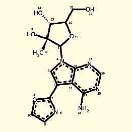 C[C@]1(O)C(n2cc(-c3ncco3)c3c(N)ncnc32)OC(CO)[C@H]1O